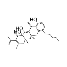 C=C(C)C1=C(C)C[C@@]2(C)C[C@@]3(C)Cc4c(CCCCC)ccc(O)c4C(=C)C3=C(O)[C@@]2(O)C1=C